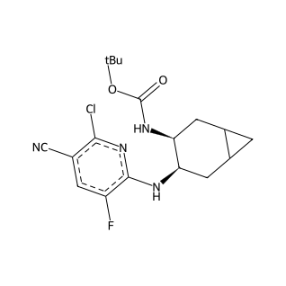 CC(C)(C)OC(=O)N[C@H]1CC2CC2C[C@H]1Nc1nc(Cl)c(C#N)cc1F